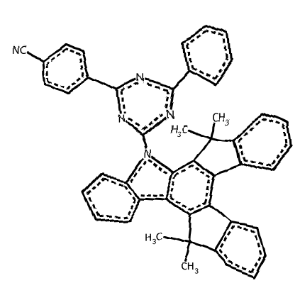 CC1(C)c2ccccc2-c2c3c(c4c(c21)c1ccccc1n4-c1nc(-c2ccccc2)nc(-c2ccc(C#N)cc2)n1)C(C)(C)c1ccccc1-3